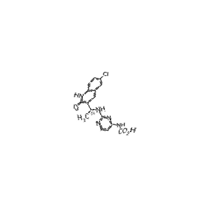 C[C@H](Nc1nccc(NC(=O)O)n1)c1cc2cc(Cl)ccc2[nH]c1=O